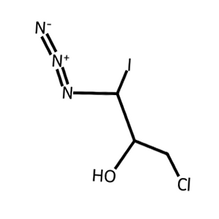 [N-]=[N+]=NC(I)C(O)CCl